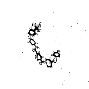 Cc1ccc(OC2CCN(C(=O)c3ccc(C(=O)N[C@H]4CC[C@@H](Oc5ccc(C(F)(F)F)cc5)CC4)nc3)CC2)cc1